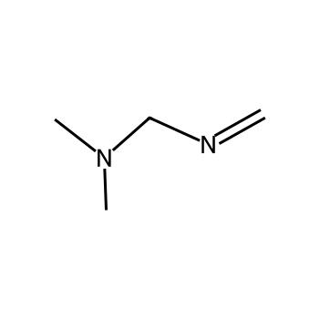 C=NCN(C)C